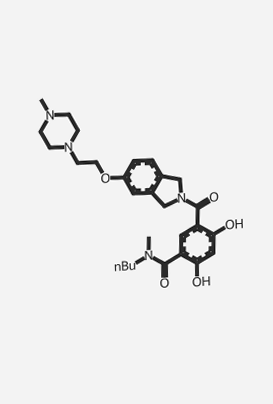 CCCCN(C)C(=O)c1cc(C(=O)N2Cc3ccc(OCCN4CCN(C)CC4)cc3C2)c(O)cc1O